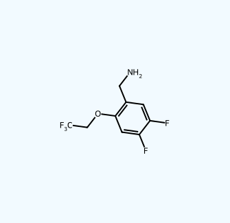 NCc1cc(F)c(F)cc1OCC(F)(F)F